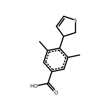 Cc1cc(C(=O)O)cc(C)c1C1C=CSC1